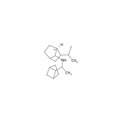 CC(I)C1CC2CC[C@@H]1C2NC(C)C1C2CCC1C2